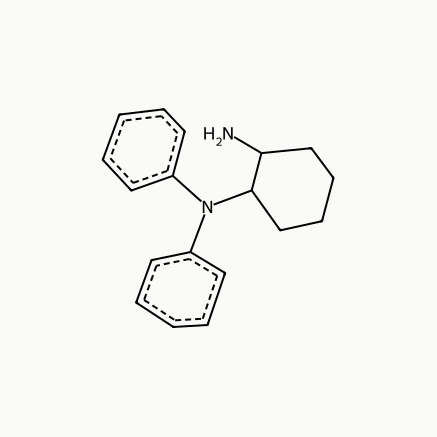 NC1CCCCC1N(c1ccccc1)c1ccccc1